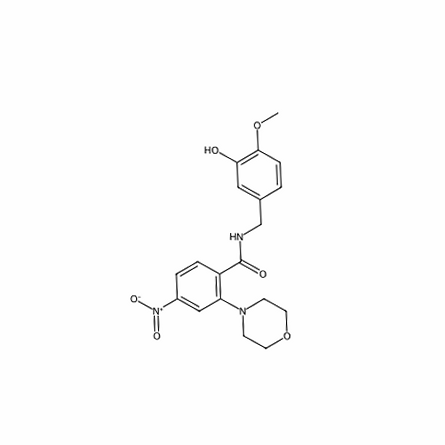 COc1ccc(CNC(=O)c2ccc([N+](=O)[O-])cc2N2CCOCC2)cc1O